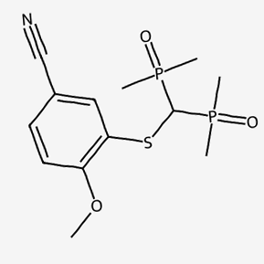 COc1ccc(C#N)cc1SC(P(C)(C)=O)P(C)(C)=O